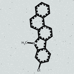 CCc1ccc2c3ccc4c5ccccc5ccc4c3n(C)c2c1